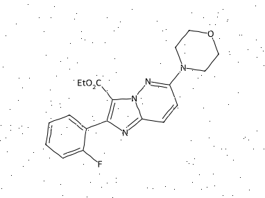 CCOC(=O)c1c(-c2ccccc2F)nc2ccc(N3CCOCC3)nn12